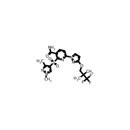 Cc1nn(C)cc1S(=O)(=O)c1nc(-n2ccc(OCC(C)(C)C(F)(F)F)n2)ccc1C(N)=O